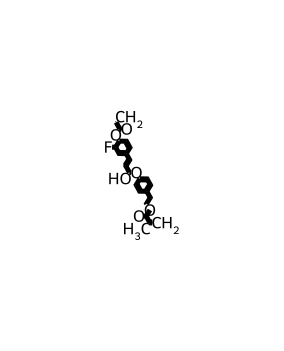 C=CC(=O)OC1C=CC(/C=C/C(O)Oc2ccc(CCOC(=O)C(=C)C)cc2)=CC1F